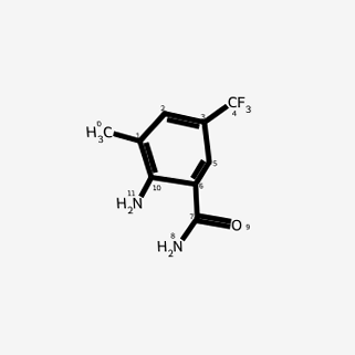 Cc1cc(C(F)(F)F)cc(C(N)=O)c1N